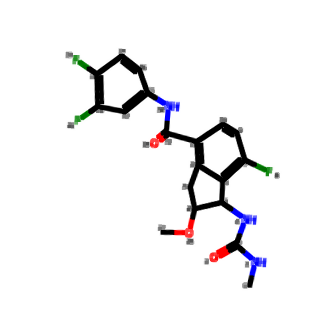 CNC(=O)NC1c2c(F)ccc(C(=O)Nc3ccc(F)c(F)c3)c2CC1OC